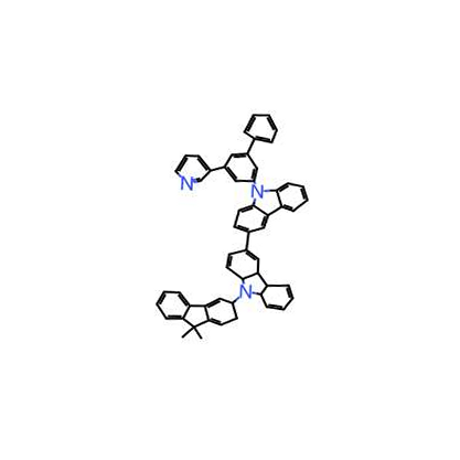 CC1(C)C2=CCC(N3C4C=CC=CC4C4C=C(c5ccc6c(c5)c5ccccc5n6-c5cc(-c6ccccc6)cc(-c6cccnc6)c5)C=CC43)C=C2c2ccccc21